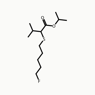 CC(C)OC(=O)C(SCCCCCF)C(C)C